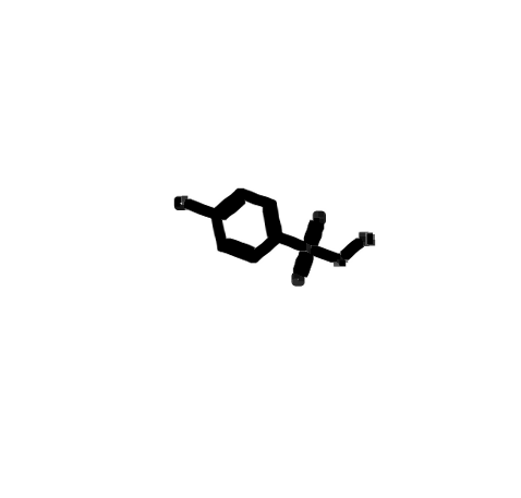 CC[N]S(=O)(=O)c1ccc(Cl)cc1